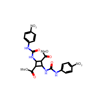 COC(=O)C1C(NC(=O)Nc2ccc([N+](=O)[O-])cc2)C(C(=O)OC)C1NC(=O)Nc1ccc([N+](=O)[O-])cc1